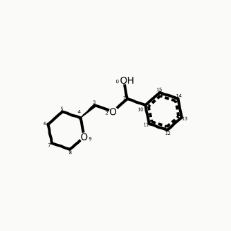 OC(OC[C@@H]1CCCCO1)c1ccccc1